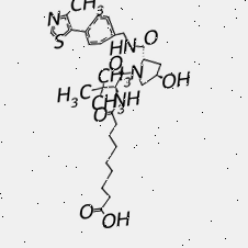 Cc1ncsc1-c1ccc(CNC(=O)[C@@H]2C[C@@H](O)CN2C(=O)[C@@H](NC(=O)CCCCCCCC(=O)O)C(C)(C)C)cc1